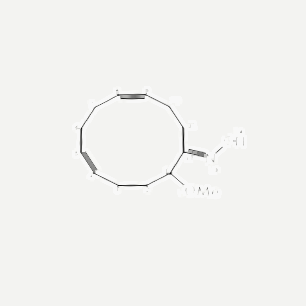 COC1CCC=CCCC=CCCC1=NO